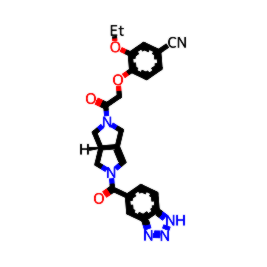 CCOc1cc(C#N)ccc1OCC(=O)N1CC2=CN(C(=O)c3ccc4[nH]nnc4c3)C[C@@H]2C1